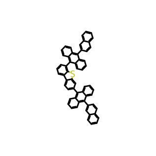 c1ccc2cc(-c3c4ccccc4c(-c4ccc5c(c4)sc4c(-c6c7ccccc7c(-c7ccc8ccccc8c7)c7ccccc67)cccc45)c4ccccc34)ccc2c1